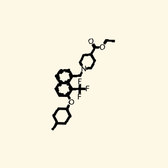 CCOC(=O)C1CCN(Cc2cccc3ccc(OC4CCC(C)CC4)c(C(F)(F)F)c23)CC1